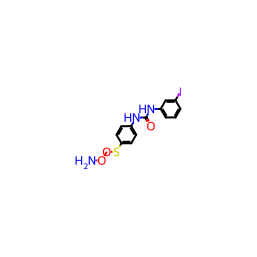 NOOSc1ccc(NC(=O)Nc2cccc(I)c2)cc1